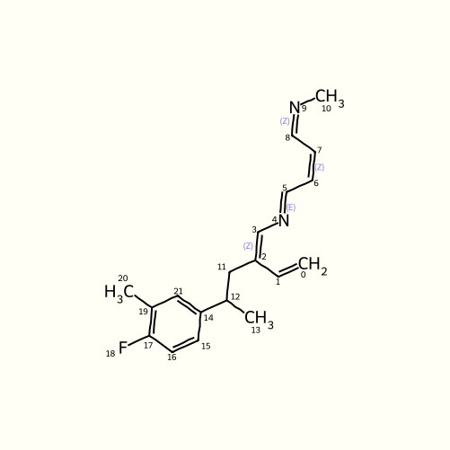 C=C\C(=C/N=C/C=C\C=N/C)CC(C)c1ccc(F)c(C)c1